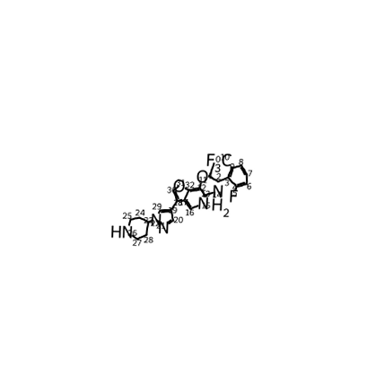 CC(Cc1c(F)cccc1C(F)(F)F)Oc1c(N)ncc2c(-c3cnn(C4CCNCC4)c3)coc12